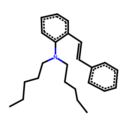 CCCCCN(CCCCC)c1ccccc1/C=C/c1ccccc1